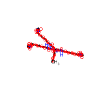 CCCOCCOCCC(=O)NC(COCCC(=O)NCCOCCOCCOCCOCCC(=O)ON1C(=O)CCC1=O)(COCCC(=O)NCCOCCOCCOCCOCCC(=O)ON1C(=O)CCC1=O)COCCC(=O)NCCOCCOCCOCCOCCC(=O)ON1C(=O)CCC1=O